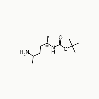 CC(N)CC[C@@H](C)NC(=O)OC(C)(C)C